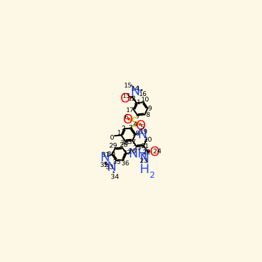 Cc1cc(S(=O)(=O)c2cccc(C(=O)N(C)C)c2)c2ncc(C(N)=O)c(Nc3ccc4ncn(C)c4c3)c2c1